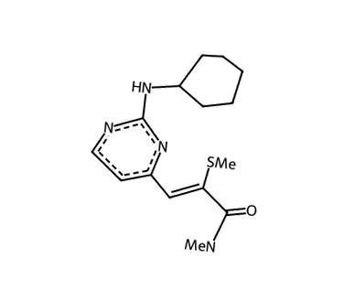 CNC(=O)/C(=C/c1ccnc(NC2CCCCC2)n1)SC